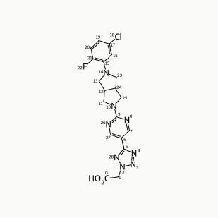 O=C(O)Cn1nnc(-c2cnc(N3CC4CN(c5cc(Cl)ccc5F)CC4C3)nc2)n1